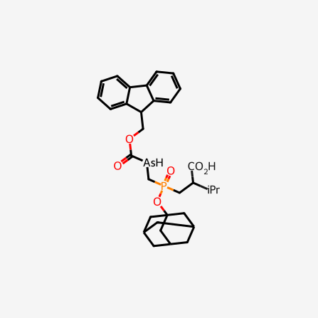 CC(C)C(CP(=O)(C[AsH]C(=O)OCC1c2ccccc2-c2ccccc21)OC12CC3CC(CC(C3)C1)C2)C(=O)O